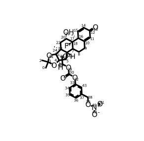 CC1(C)O[C@@H]2C[C@H]3C4CCC5=CC(=O)C=C[C@]5(C)[C@@]4(F)[C@@H](O)C[C@]3(C)[C@]2(C(=O)COC(=O)Oc2cccc(CO[N+](=O)[O-])c2)O1